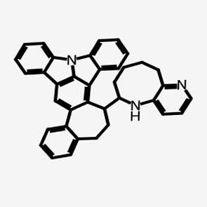 c1ccc2c(c1)CCC(C1CCCCc3ncccc3N1)c1c-2cc2c3ccccc3n3c4ccccc4c1c23